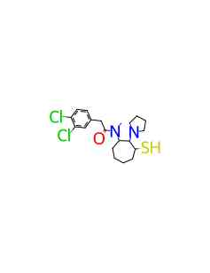 CN(C(=O)Cc1ccc(Cl)c(Cl)c1)C1CCCCC(S)C1N1CCCC1